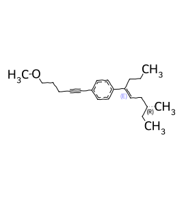 CCC/C(=C\C[C@H](C)CC)c1ccc(C#CCCCOC)cc1